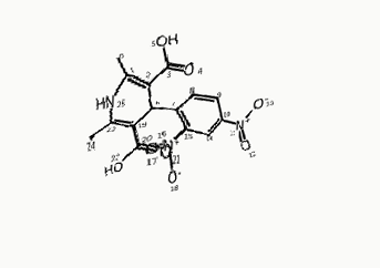 CC1=C(C(=O)O)C(c2ccc([N+](=O)[O-])cc2[N+](=O)[O-])C(C(=O)O)=C(C)N1